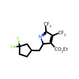 CCOC(=O)C1=C(C(F)(F)F)C(C(F)(F)F)=NC1CC1CCC(F)(F)C1